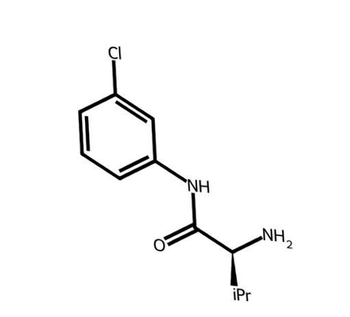 CC(C)[C@H](N)C(=O)Nc1cccc(Cl)c1